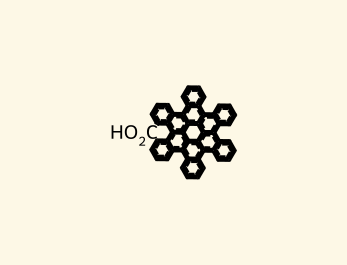 O=C(O)c1cccc2c1c1c3ccccc3c3c4ccccc4c4c5ccccc5c5c6ccccc6c6c7ccccc7c2c2c6c5c4c3c12